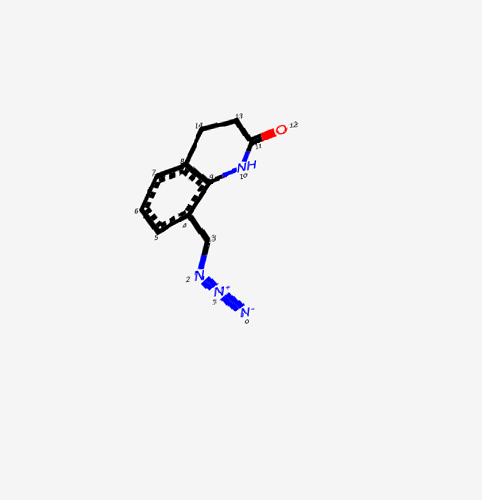 [N-]=[N+]=NCc1cccc2c1NC(=O)CC2